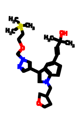 CC(C)(O)C#Cc1ccc2c(c1)c(-c1cnn(COCCS(C)(C)C)c1)cn2CC1CCOC1